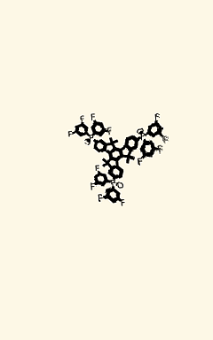 CC1(C)c2cc(P(=O)(c3cc(F)cc(F)c3)c3cc(F)cc(F)c3)ccc2-c2c1c1c(c3c2C(C)(C)c2cc(P(=O)(c4cc(F)cc(F)c4)c4cc(F)cc(F)c4)ccc2-3)C(C)(C)c2cc(P(=O)(c3cc(F)cc(F)c3)c3cc(F)cc(F)c3)ccc2-1